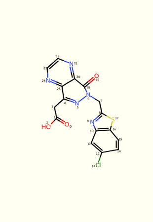 O=C(O)Cc1nn(Cc2nc3cc(Cl)ccc3s2)c(=O)c2nccnc12